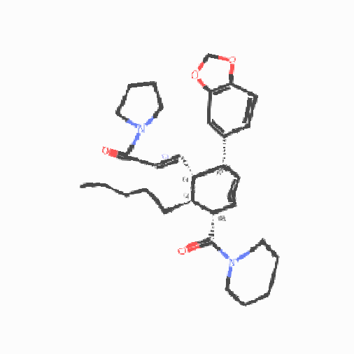 CCCCC[C@H]1[C@H](/C=C/C(=O)N2CCCC2)[C@H](c2ccc3c(c2)OCO3)C=C[C@@H]1C(=O)N1CCCCC1